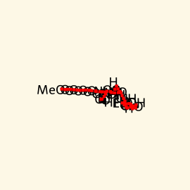 CCC(=O)O[C@]1(C(=O)COCNC(=O)CNC(=O)[C@H](Cc2ccccc2)NC(=O)CNC(=O)CNC(=O)[C@H](CCCCNC(=O)CCOCCOCCOCCOCCOCCOCCOCCOC)NC(=O)CCN2C(=O)C=CC2=O)[C@@H](C)CC2[C@@H]3CCC4=CC(=O)C=C[C@]4(C)[C@@]3(Cl)[C@@H](O)C[C@@]21C